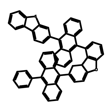 C1=C(c2c3ccccc3c(-c3ccccc3)c3ccccc23)CC2C(=C1)Oc1cccc(-c3c4ccccc4c(-c4ccc5c(c4)sc4ccccc45)c4ccccc34)c12